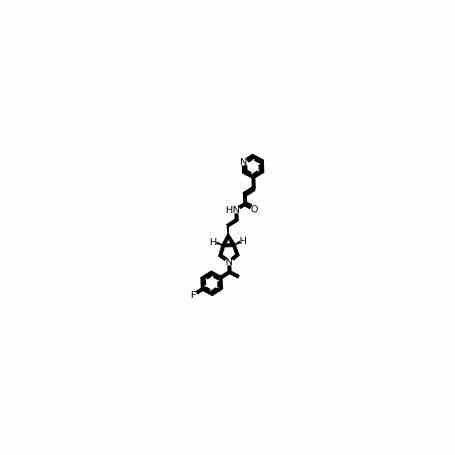 CC(c1ccc(F)cc1)N1C[C@@H]2[C@@H](CCNC(=O)/C=C/c3cccnc3)[C@@H]2C1